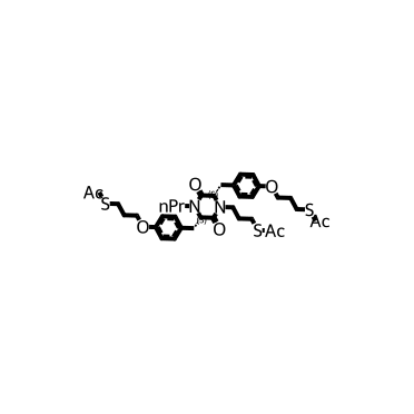 [CH2]CCN1C(=O)[C@H](Cc2ccc(OCCCSC(C)=O)cc2)N(CCCSC(C)=O)C(=O)[C@@H]1Cc1ccc(OCCCSC(C)=O)cc1